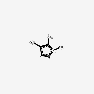 CC(=O)Oc1c([N+](=O)[O-])cnn1C